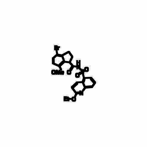 CCOc1ccc2c(S(=O)(=O)NC(=O)C3CCc4c(Br)ccc(OC)c43)cccc2n1